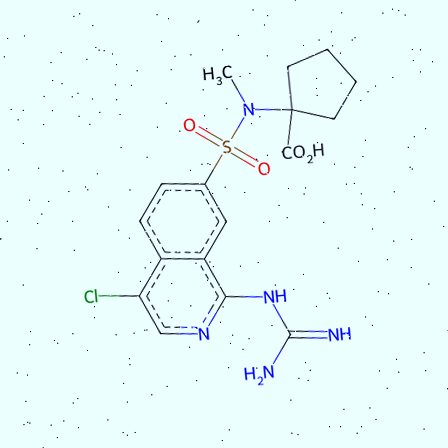 CN(C1(C(=O)O)CCCC1)S(=O)(=O)c1ccc2c(Cl)cnc(NC(=N)N)c2c1